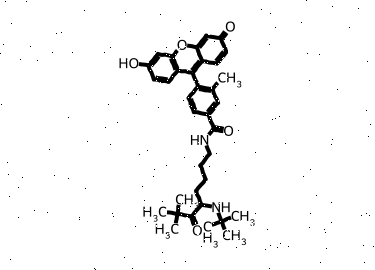 Cc1cc(C(=O)NCCCCC(NC(C)(C)C)C(=O)C(C)(C)C)ccc1-c1c2ccc(=O)cc-2oc2cc(O)ccc12